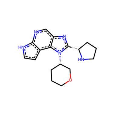 c1cc2c(ncc3nc([C@@H]4CCCN4)n([C@H]4CCCOC4)c32)[nH]1